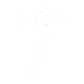 CCCCOc1ccc(-c2ccc3nc(C(c4nnc(CS(=O)(=O)O)o4)S(=O)(=O)CCC(F)(F)F)sc3c2)cc1